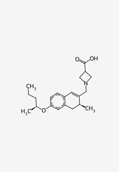 CCC[C@H](C)Oc1ccc2c(c1)C[C@H](C)C(CN1CC(C(=O)O)C1)=C2